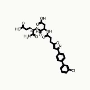 NC(=O)[C@@H](CCC(=O)O)NC(=O)C(CC(=O)O)NC(=O)CCc1cc(-c2ccc(-c3cccc(Cl)c3)cc2)no1